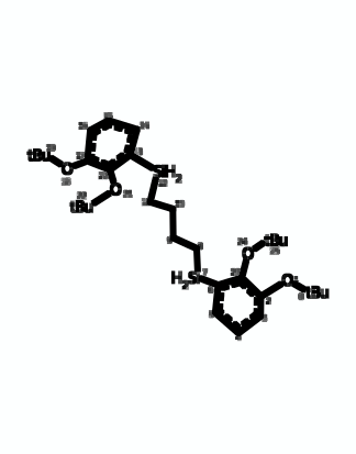 CC(C)(C)Oc1cccc([SiH2]CCCC[SiH2]c2cccc(OC(C)(C)C)c2OC(C)(C)C)c1OC(C)(C)C